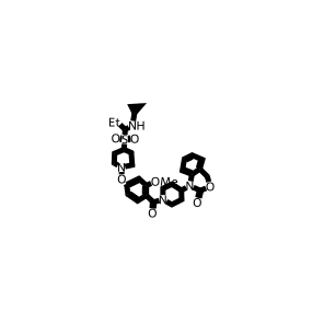 CCC(NC1CC1)S(=O)(=O)C1CCN(Oc2ccc(C(=O)N3CCC(N4C(=O)OCc5ccccc54)CC3)c(OC)c2)CC1